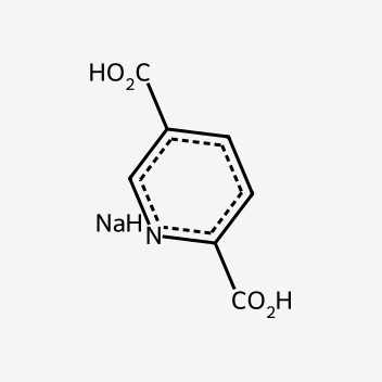 O=C(O)c1ccc(C(=O)O)nc1.[NaH]